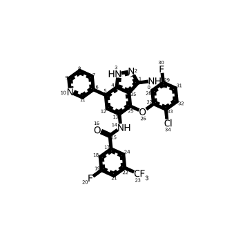 Nc1n[nH]c2c(-c3cccnc3)cc(NC(=O)c3cc(F)cc(C(F)(F)F)c3)c(Oc3cc(F)ccc3Cl)c12